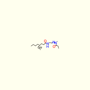 CCCC[CH](CCC(=O)NCC=NN(C)C(=O)CC)[Sn]([CH3])([CH3])[CH3]